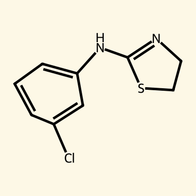 Clc1cccc(NC2=NCCS2)c1